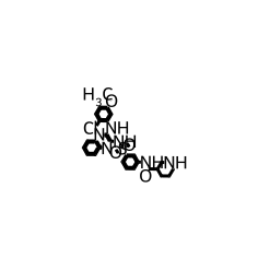 COc1ccc(Cl)c(Nc2nc3ccccc3nc2NS(=O)(=O)c2cccc(NC(=O)C3CCCNC3)c2)c1